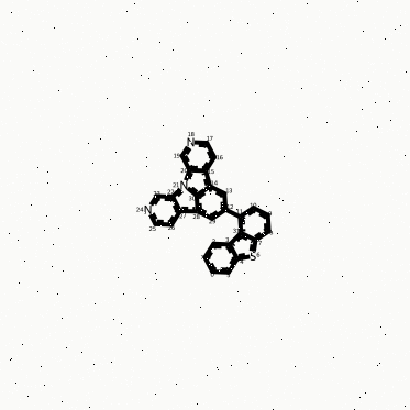 c1ccc2c(c1)sc1cccc(-c3cc4c5ccncc5n5c6cnccc6c(c3)c45)c12